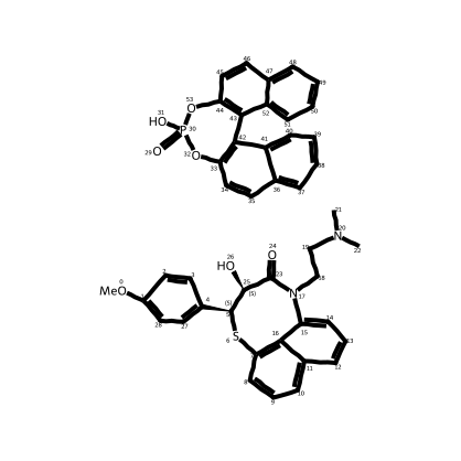 COc1ccc([C@@H]2Sc3cccc4cccc(c34)N(CCN(C)C)C(=O)[C@@H]2O)cc1.O=P1(O)Oc2ccc3ccccc3c2-c2c(ccc3ccccc23)O1